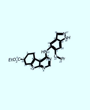 CCOC(=O)[C@H]1CCc2c(sc3ncnc(Nc4cc5cn[nH]c5cc4OC(C)C)c23)C1